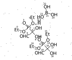 CCOP(=O)(OCC)C(O)(O)C=O.CCOP(=O)(OCC)C(O)(O)C=O.OB(O)O.[LiH]